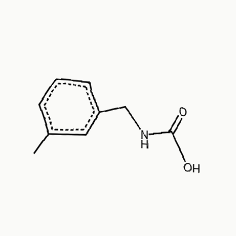 Cc1cccc(CNC(=O)O)c1